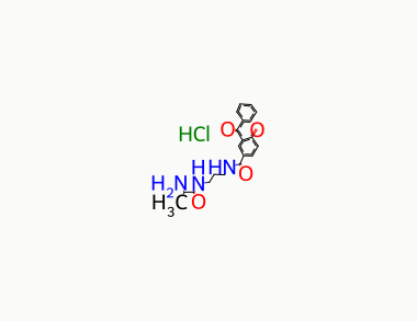 CC(N)C(=O)NCCCNC(=O)c1ccc2oc3ccccc3c(=O)c2c1.Cl